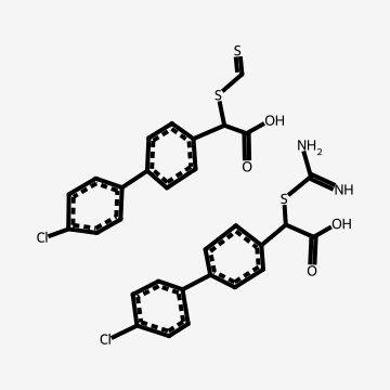 N=C(N)SC(C(=O)O)c1ccc(-c2ccc(Cl)cc2)cc1.O=C(O)C(SC=S)c1ccc(-c2ccc(Cl)cc2)cc1